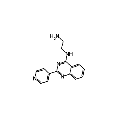 NCCNc1nc(-c2ccncc2)nc2ccccc12